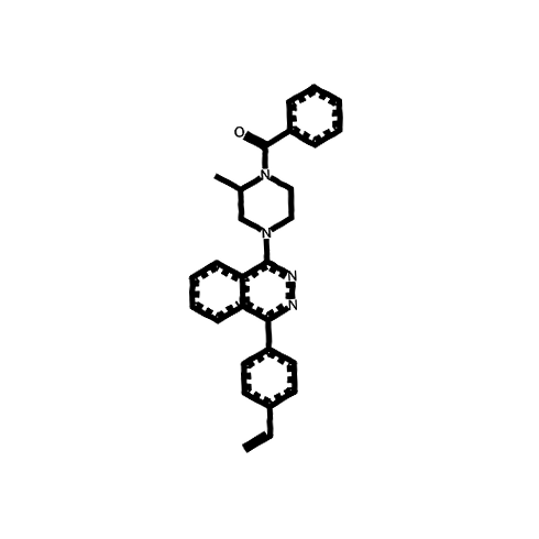 C=Cc1ccc(-c2nnc(N3CCN(C(=O)c4ccccc4)C(C)C3)c3ccccc23)cc1